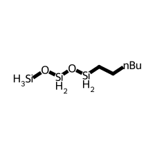 CCCCCC[SiH2]O[SiH2]O[SiH3]